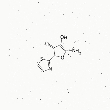 NC1=C(O)C(=O)C(c2nccs2)O1